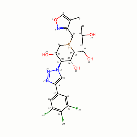 Cc1conc1[C@@H]([SH]1C[C@H](O)[C@H](n2cc(-c3cc(F)c(F)c(F)c3)nn2)[C@@H](O)[C@H]1CO)C(C)(C)O